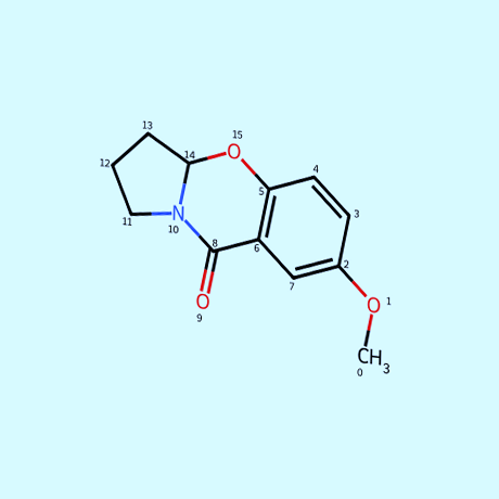 COc1ccc2c(c1)C(=O)N1CCCC1O2